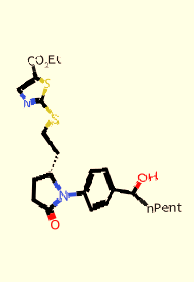 CCCCCC(O)c1ccc(N2C(=O)CC[C@@H]2CCSc2ncc(C(=O)OCC)s2)cc1